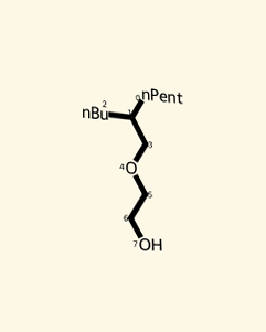 CCCCCC(CCCC)COCCO